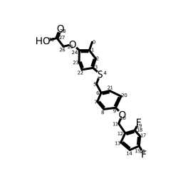 Cc1cc(SCc2ccc(OCc3ccc(F)cc3F)cc2)ccc1OCC(=O)O